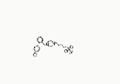 CN(C)S(=O)(=O)CCCCCN1CCN(Cc2ccccc2-c2ccc(Cl)cc2)CC1